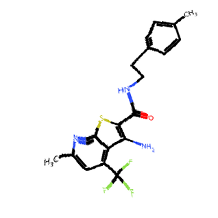 Cc1ccc(CCNC(=O)c2sc3nc(C)cc(C(F)(F)F)c3c2N)cc1